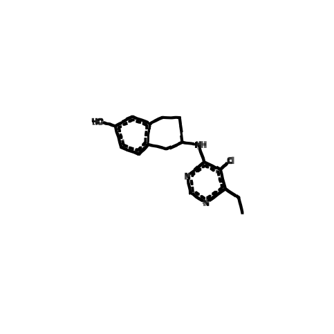 CCc1ncnc(NC2CCc3cc(O)ccc3C2)c1Cl